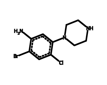 Nc1cc(N2CCNCC2)c(Cl)cc1Br